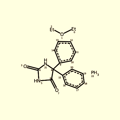 CCOCC.O=C1NC(=O)C(c2ccccc2)(c2ccccc2)N1.P